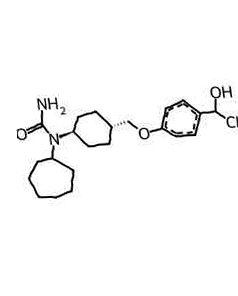 CC(O)c1ccc(OC[C@H]2CC[C@H](N(C(N)=O)C3CCCCCC3)CC2)cc1